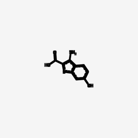 Nc1c(C(=O)O)sc2cc(O)ccc12